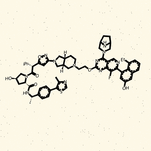 CCc1cccc2cc(O)cc(-c3ncc4c(N5CC6CCC(C5)N6)nc(OCCN5CC[C@H]6CN(c7cc([C@H](C(=O)N8C[C@H](O)C[C@H]8C(=O)N[C@@H](C)c8ccc(-c9scnc9C)cc8)C(C)C)on7)C[C@H]6C5)nc4c3F)c12